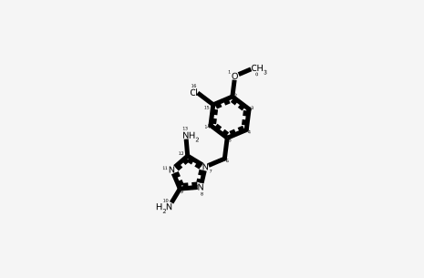 COc1ccc(Cn2nc(N)nc2N)cc1Cl